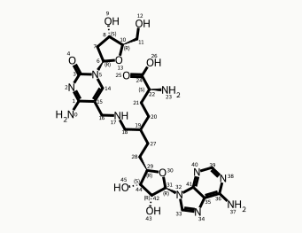 Nc1nc(=O)n([C@H]2C[C@H](O)[C@@H](CO)O2)cc1CNCC(CC[C@H](N)C(=O)O)CC[C@H]1O[C@@H](n2cnc3c(N)ncnc32)[C@H](O)[C@@H]1O